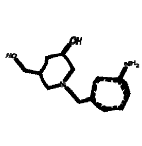 Nc1cccc(CN2CC(O)CC(CO)C2)c1